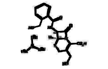 CCCCN(CCCC)CCCC.O=C(O)C1=C(CO)CS[C@H]2[C@@H](NC(=O)c3ccccc3CO)C(=O)N12